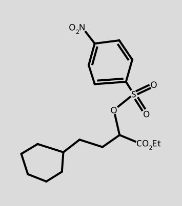 CCOC(=O)C(CCC1CCCCC1)OS(=O)(=O)c1ccc([N+](=O)[O-])cc1